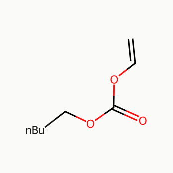 C=COC(=O)OCCCCC